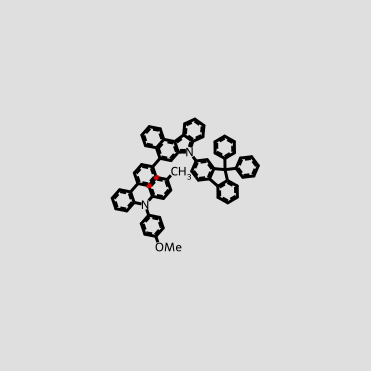 COc1ccc(N(c2ccc(C)cc2)c2ccccc2-c2ccc(-c3cc4c(c5ccccc35)c3ccccc3n4-c3ccc4c(c3)C(c3ccccc3)(c3ccccc3)c3ccccc3-4)cc2)cc1